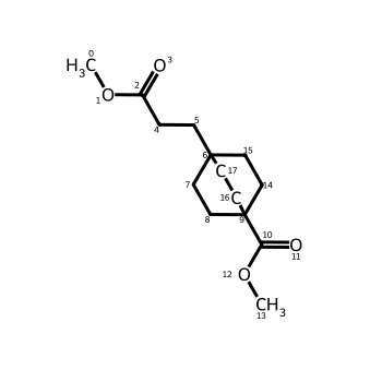 COC(=O)CCC12CCC(C(=O)OC)(CC1)CC2